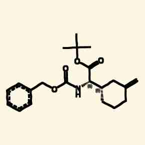 C=C1CCC[C@H]([C@H](NC(=O)OCc2ccccc2)C(=O)OC(C)(C)C)C1